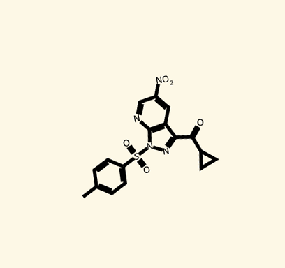 Cc1ccc(S(=O)(=O)n2nc(C(=O)C3CC3)c3cc([N+](=O)[O-])cnc32)cc1